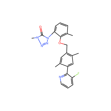 Cc1cc(-c2ncccc2F)c(C)cc1COc1c(C)cccc1-n1nnn(C)c1=O